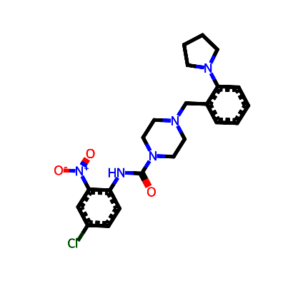 O=C(Nc1ccc(Cl)cc1[N+](=O)[O-])N1CCN(Cc2ccccc2N2CCCC2)CC1